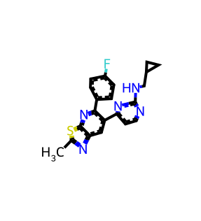 Cc1nc2cc(-c3ccnc(NCC4CC4)n3)c(-c3ccc(F)cc3)nc2s1